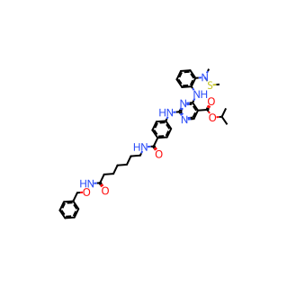 CSN(C)c1ccccc1Nc1nc(Nc2ccc(C(=O)NCCCCCCC(=O)NOCc3ccccc3)cc2)ncc1C(=O)OC(C)C